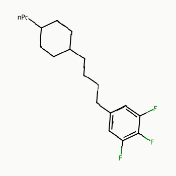 CCCC1CCC(CCCCc2cc(F)c(F)c(F)c2)CC1